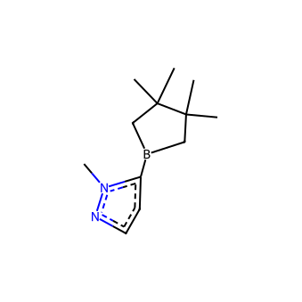 Cn1nccc1B1CC(C)(C)C(C)(C)C1